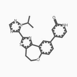 CC(C)n1ncnc1-c1nc2c(s1)CCOc1ccc(-c3cc[nH]c(=O)c3)cc1-2